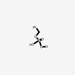 CCOP(=O)(O)OCC(C)C